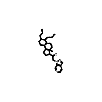 CCCC1CCC2C(CCC3(C)C(C(=O)Cn4ncc5ccncc54)CCC23)C1CCC